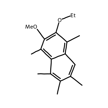 CCOc1c(OC)c(C)c2c(C)c(C)c(C)cc2c1C